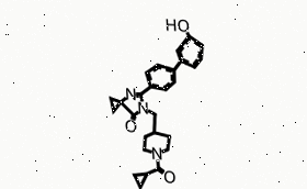 O=C(C1CC1)N1CCC(CN2C(=O)C3(CC3)N=C2c2ccc(-c3cccc(O)c3)cc2)CC1